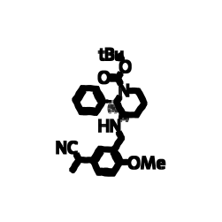 COc1ccc(C(C)C#N)cc1CN[C@H]1CCCN(C(=O)OC(C)(C)C)[C@H]1c1ccccc1